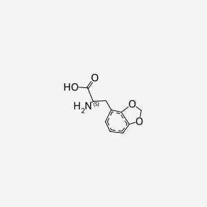 N[C@@H](Cc1cccc2c1OCO2)C(=O)O